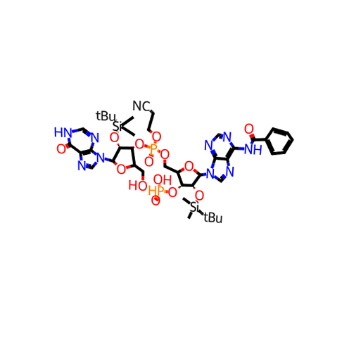 CC(C)(C)[Si](C)(C)O[C@H]1C(n2cnc3c(NC(=O)c4ccccc4)ncnc32)OC(COP(=O)(OCCC#N)O[C@@H]2C(CO)OC(n3cnc4c(=O)[nH]cnc43)[C@@H]2O[Si](C)(C)C(C)(C)C)[C@H]1O[PH](=O)O